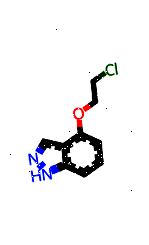 ClCCOc1cccc2[nH]ncc12